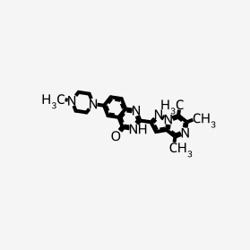 Cc1nc(C)c2cc(-c3nc4ccc(N5CCN(C)CC5)cc4c(=O)[nH]3)nn2c1C